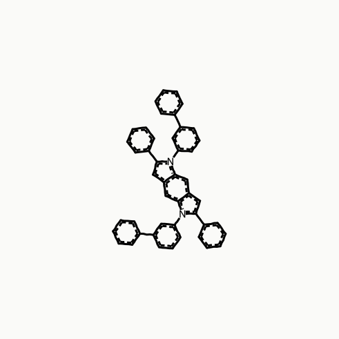 c1ccc(-c2cccc(-n3c(-c4ccccc4)cc4cc5c(cc(-c6ccccc6)n5-c5cccc(-c6ccccc6)c5)cc43)c2)cc1